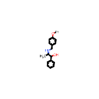 CCOc1ccc(CNC(C)C(O)c2ccccc2)cc1